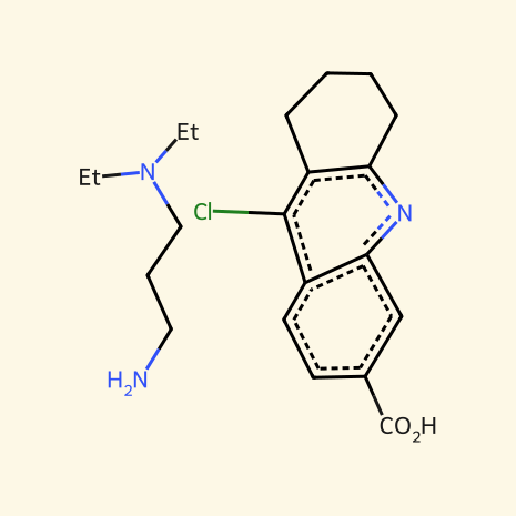 CCN(CC)CCCN.O=C(O)c1ccc2c(Cl)c3c(nc2c1)CCCC3